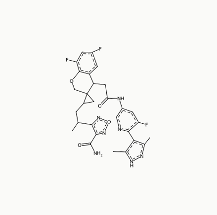 Cc1n[nH]c(C)c1-c1ncc(NC(=O)CC2c3cc(F)cc(F)c3OCC23CC3CC(C)c2nonc2C(N)=O)cc1F